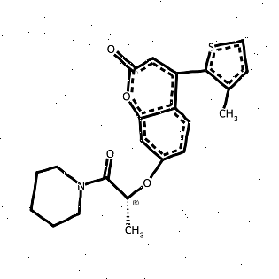 Cc1ccsc1-c1cc(=O)oc2cc(O[C@H](C)C(=O)N3CCCCC3)ccc12